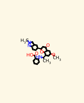 COc1cc(C(C)Nc2ccccc2C(=O)O)c2oc(-c3ccc4nn(C)cc4c3)cc(=O)c2c1